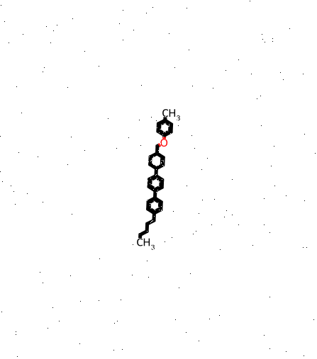 CCCCCc1ccc(-c2ccc(C3C=CC(COc4ccc(C)cc4)CC3)cc2)cc1